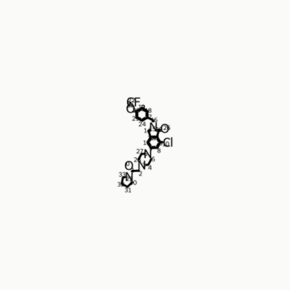 O=C(CN1CCN(c2cc(Cl)c3c(c2)CN(Cc2ccc(OC(F)(F)F)cc2)C3=O)CC1)N1CCCC1